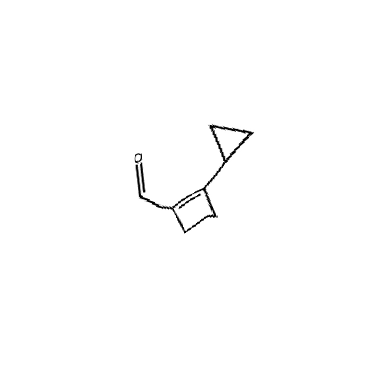 O=CC1=C(C2CC2)CC1